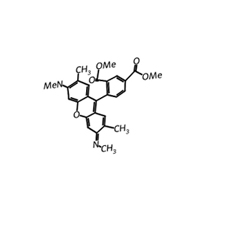 C/N=c1/cc2oc3cc(NC)c(C)cc3c(-c3ccc(C(=O)OC)cc3C(=O)OC)c-2cc1C